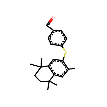 Cc1cc2c(cc1Sc1ccc(C=O)cc1)C(C)(C)CCC2(C)C